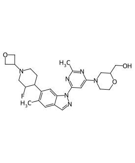 Cc1nc(N2CCOC(CO)C2)cc(-n2ncc3cc(C)c(C4CCN(C5COC5)CC4F)cc32)n1